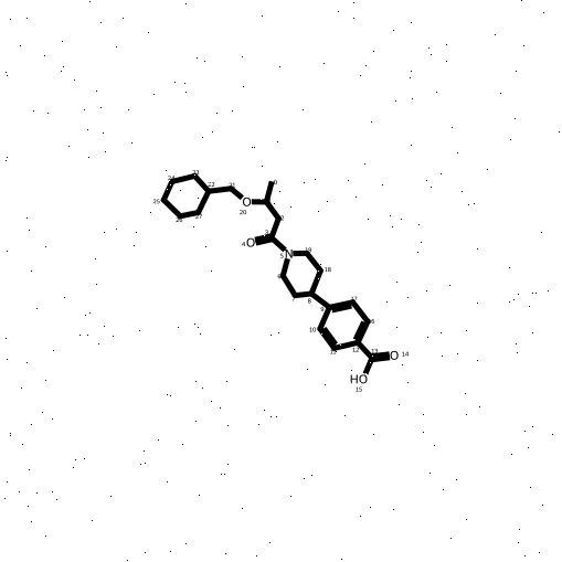 CC(CC(=O)N1CCC(c2ccc(C(=O)O)cc2)CC1)OCC1CCCCC1